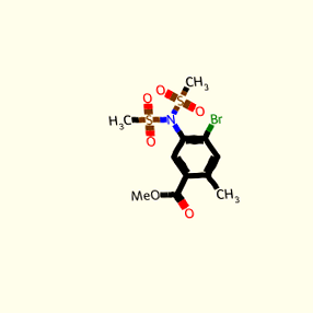 COC(=O)c1cc(N(S(C)(=O)=O)S(C)(=O)=O)c(Br)cc1C